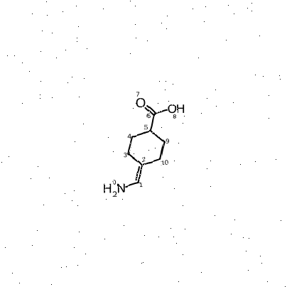 NC=C1CCC(C(=O)O)CC1